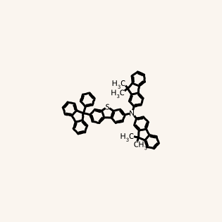 CC1(C)c2ccccc2-c2ccc(N(c3ccc4c(c3)C(C)(C)c3ccccc3-4)c3ccc4c(c3)sc3cc(C5(c6ccccc6)c6ccccc6-c6ccccc65)ccc34)cc21